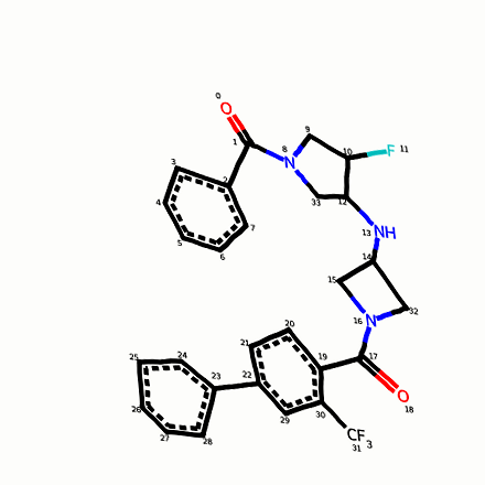 O=C(c1ccccc1)N1CC(F)C(NC2CN(C(=O)c3ccc(-c4ccccc4)cc3C(F)(F)F)C2)C1